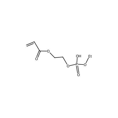 C=CC(=O)OCCOP(=O)(O)OCC